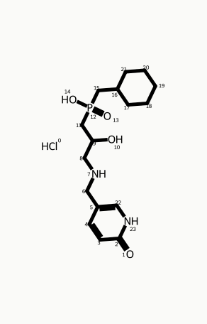 Cl.O=c1ccc(CNCC(O)CP(=O)(O)CC2CCCCC2)c[nH]1